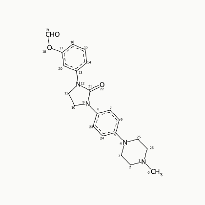 CN1CCN(c2ccc(N3CCN(c4cccc(OC=O)c4)C3=O)cc2)CC1